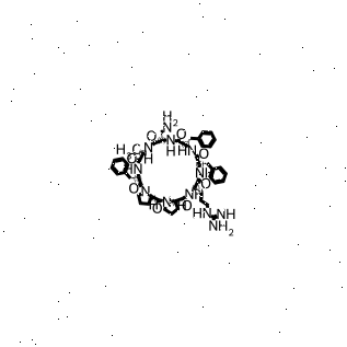 C[C@@H]1NC(=O)[C@H](CN)NC(=O)[C@H](Cc2ccccc2)NC(=O)[C@H](Cc2ccccc2)NC(=O)[C@H](CCCNC(=N)N)NC(=O)[C@@H]2CCCN2C(=O)[C@H]2CCCN2C(=O)[C@H](Cc2ccccc2)NC1=O